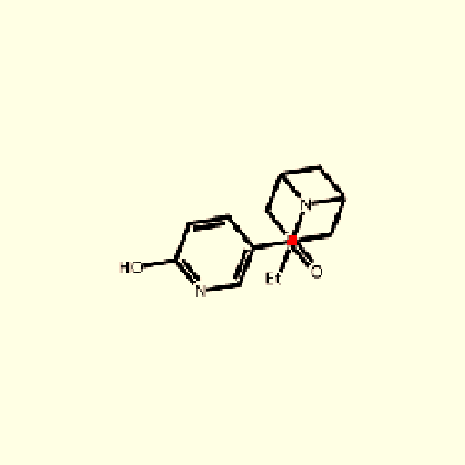 CCN1CC2CC(C1)N2C(=O)c1ccc(O)nc1